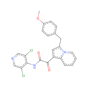 COc1ccc(Cc2cc(C(=O)C(=O)Nc3c(Cl)cncc3Cl)c3ccccn23)cc1